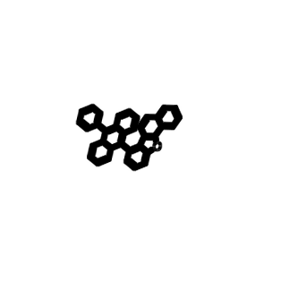 C1=CC2C(c3ccccc3)=c3ccccc3=C(c3cccc4oc5c6ccccc6ccc5c34)C2C=C1